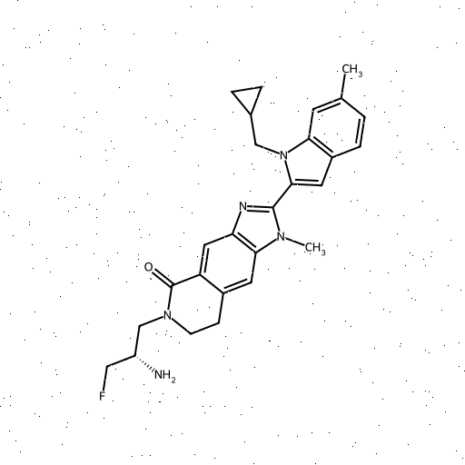 Cc1ccc2cc(-c3nc4cc5c(cc4n3C)CCN(C[C@H](N)CF)C5=O)n(CC3CC3)c2c1